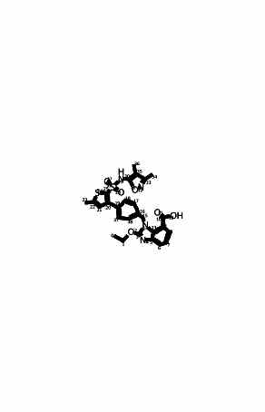 CCOc1nc2cccc(C(=O)O)c2n1Cc1ccc(-c2cc(C)sc2S(=O)(=O)Nc2onc(C)c2C)cc1